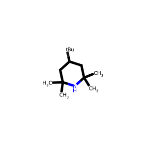 CC1(C)CC(C(C)(C)C)CC(C)(C)N1